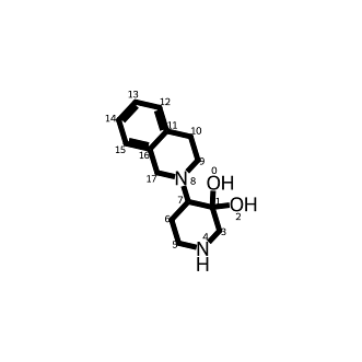 OC1(O)CNCCC1N1CCc2ccccc2C1